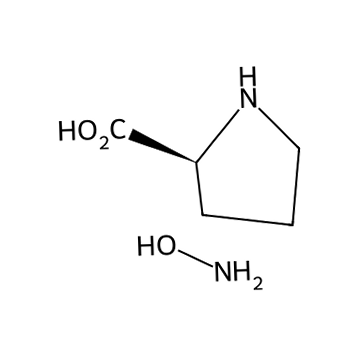 NO.O=C(O)[C@@H]1CCCN1